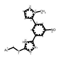 CC(=O)CSc1nnc(-c2cc(N=O)cc(-c3ccnn3C)c2)[nH]1